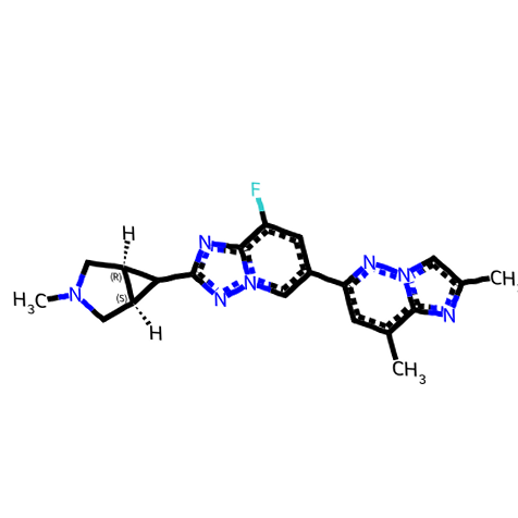 Cc1cn2nc(-c3cc(F)c4nc(C5[C@H]6CN(C)C[C@@H]56)nn4c3)cc(C)c2n1